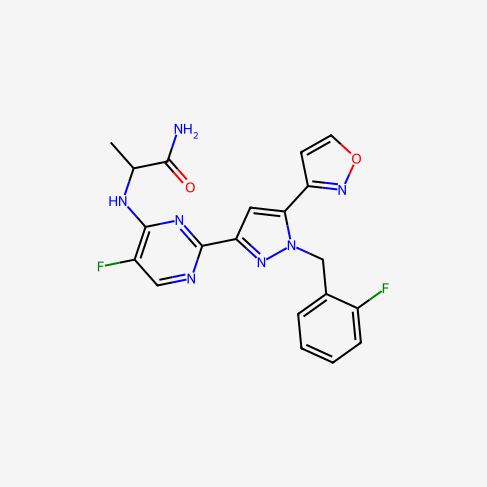 CC(Nc1nc(-c2cc(-c3ccon3)n(Cc3ccccc3F)n2)ncc1F)C(N)=O